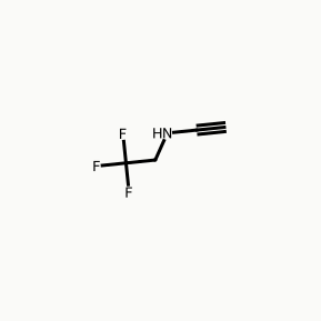 C#CNCC(F)(F)F